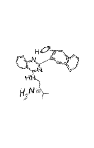 CC(C)[C@H](N)CNc1nc(-c2cc3ccccc3cc2O)nc2ccccc12